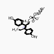 CC/C(=C(/CC)c1ccc(O)cc1)c1ccc(O)cc1.O=P([O-])([O-])[O-].[Na+].[Na+].[Na+]